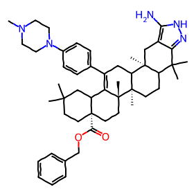 CN1CCN(c2ccc(C3=C4C5CC(C)(C)CC[C@]5(C(=O)OCc5ccccc5)CC[C@@]4(C)[C@]4(C)CCC5C(C)(C)c6n[nH]c(N)c6C[C@]5(C)C4C3)cc2)CC1